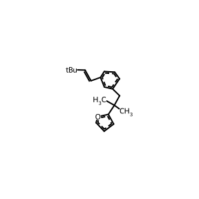 CC(C)(C)/C=C/c1cccc(CC(C)(C)c2ccco2)c1